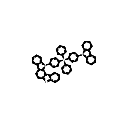 c1ccc([Si](c2ccccc2)(c2ccc(-n3c4ccccc4c4ccccc43)cc2)c2ccc(-n3c4ccccc4c4ccc5oc6ccccc6c5c43)cc2)cc1